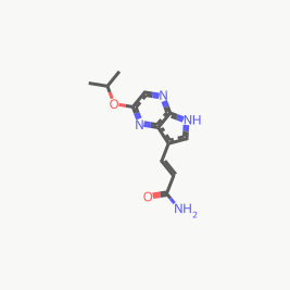 CC(C)Oc1cnc2[nH]cc(C=CC(N)=O)c2n1